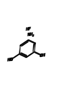 F.N.Oc1cccc(O)c1